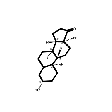 CC[C@]12CC[C@H]3[C@@H](CCC4C[C@@H](O)CC[C@@H]43)[C@@H]1CCC2=O